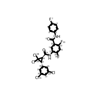 O=C(Nc1ccc(F)cc1)c1cc(NC(=O)[C@H]2[C@H](c3cc(Cl)cc(Cl)c3)C2(Cl)Cl)c(F)cc1F